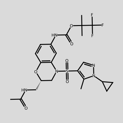 CC(=O)NC[C@H]1CN(S(=O)(=O)c2cnn(C3CC3)c2C)c2cc(NC(=O)OC(C)(C)C(F)(F)F)ccc2O1